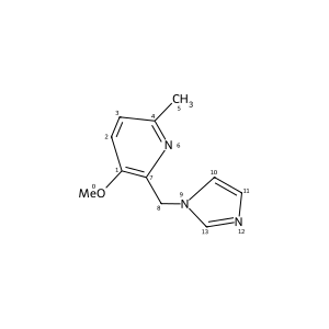 COc1ccc(C)nc1Cn1ccnc1